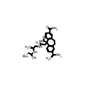 C=C(CN[C@@H](C)CC1(C(=N)N)c2ccc(C(=C)N)cc2CCc2cc(C(N)=O)ccc21)NC(C#N)C[C@@H](C)CC